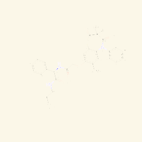 CCCCC1(CC)C(=O)[SH]c2cc(OCC(=O)N[C@@H](C(=O)NCCC(=O)O)c3ccccc3)c(SC)cc2N(c2ccccc2)C1=O